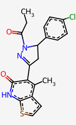 CCC(=O)N1N=C(c2c(C)c3ccsc3[nH]c2=O)CC1c1ccc(Cl)cc1